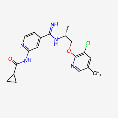 C[C@H](COc1ncc(C(F)(F)F)cc1Cl)NC(=N)c1ccnc(NC(=O)C2CC2)c1